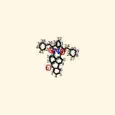 O=C1c2ccccc2-c2ccc3c4c(ccc1c24)C(=O)N(c1c(CCC2CCCCC2)cccc1CCC1CCCCC1)C3=O